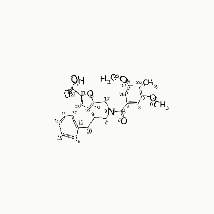 COc1cc(C(=O)N(CCCc2ccccc2)Cc2ccc(C(=O)O)o2)cc(OC)c1C